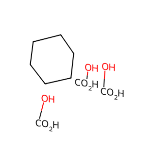 C1CCCCC1.O=C(O)O.O=C(O)O.O=C(O)O